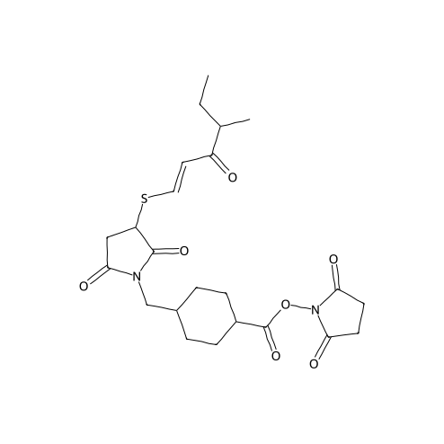 CCC(C)C(=O)/C=C/SC1CC(=O)N(CC2CCC(C(=O)ON3C(=O)CCC3=O)CC2)C1=O